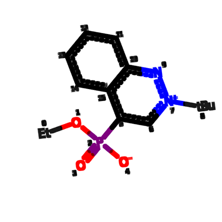 CCOP(=O)([O-])c1c[n+](C(C)(C)C)nc2ccccc12